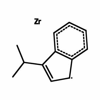 CC(C)C1=C[CH]c2ccccc21.[Zr]